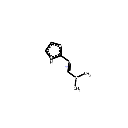 CN(C)/C=N/c1ncc[nH]1